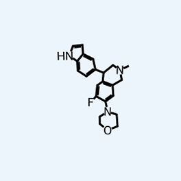 CN1Cc2cc(N3CCOCC3)c(F)cc2C(c2ccc3[nH]ccc3c2)C1